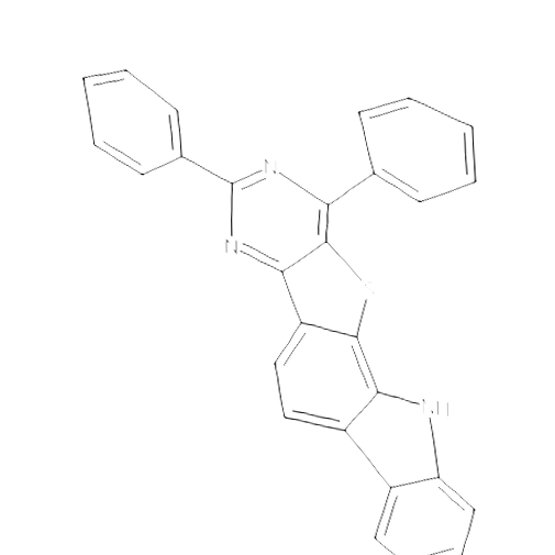 c1ccc(-c2nc(-c3ccccc3)c3sc4c(ccc5c6ccccc6[nH]c54)c3n2)cc1